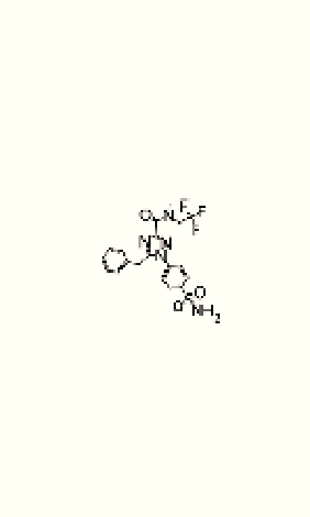 CN(CC(F)(F)F)C(=O)c1nc(Cc2ccccc2)n(-c2ccc(S(N)(=O)=O)cc2)n1